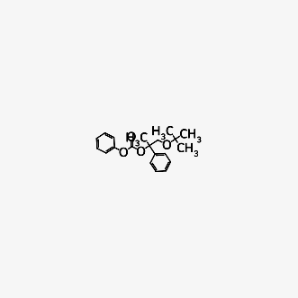 CC(C)(C)OCC(C)(OC(=O)Oc1ccccc1)c1ccccc1